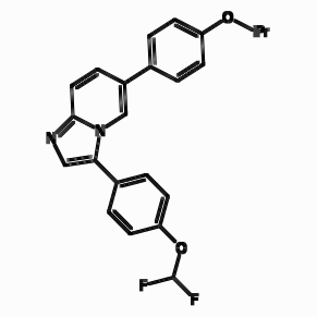 CC(C)Oc1ccc(-c2ccc3ncc(-c4ccc(OC(F)F)cc4)n3c2)cc1